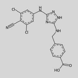 N#Cc1c(Cl)cc(Nc2n[nH]c(NCc3ccc(C(=O)O)cc3)n2)cc1Cl